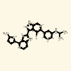 Cc1ccc(-c2nccc3[nH]c(-c4n[nH]c5cnc(-c6cncc(NC(C)C)c6)c(F)c45)nc23)s1